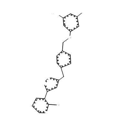 COc1cc(F)cc(NCc2ccc(Cc3cc(-c4cccnc4N)on3)cc2)c1